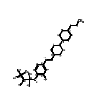 CCCC1CCC(C2CCC(COc3ccc(OC(F)(F)C(F)C(F)(F)F)c(F)c3)CC2)CC1